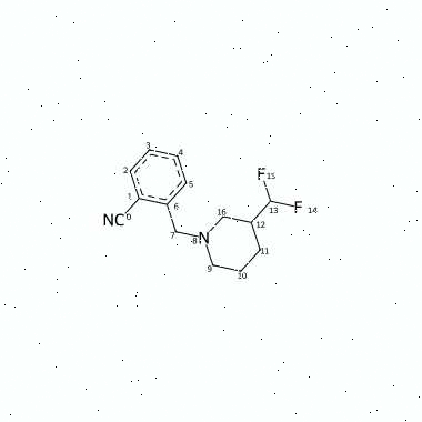 N#Cc1ccccc1CN1CCCC(C(F)F)C1